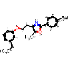 CCOC(=O)Cc1cccc(OCCc2nc(-c3ccc(SC)cc3)oc2C)c1